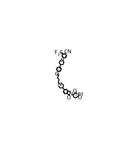 N#Cc1ccc(N2CCC(c3ccc(OCCCCN4CCC(c5ccc6c(c5)CN(C5CCC(=O)NC5=O)C6=O)CC4)cc3)CC2)cc1C(F)(F)F